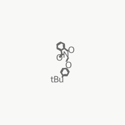 CC(C)(C)c1ccc(OCCN2C(=O)c3ccccc3C2=O)cc1